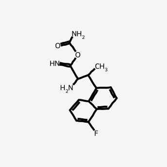 CC(c1cccc2c(F)cccc12)C(N)C(=N)OC(N)=O